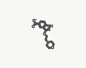 O=[N+]([O-])c1ccc2[nH]nc(OCCN3CCOCC3)c2c1